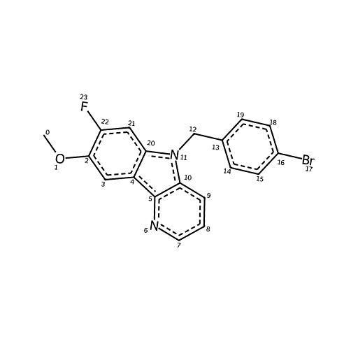 COc1cc2c3ncccc3n(Cc3ccc(Br)cc3)c2cc1F